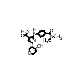 C[C@H]1CCOC[C@@H]1n1cc(C(N)=O)c(Nc2ccc(C(=O)N(C)C)cc2)n1